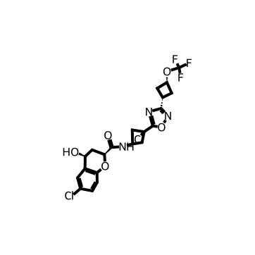 O=C(NC12CC(c3nc([C@H]4C[C@@H](OC(F)(F)F)C4)no3)(C1)C2)[C@@H]1C[C@H](O)c2cc(Cl)ccc2O1